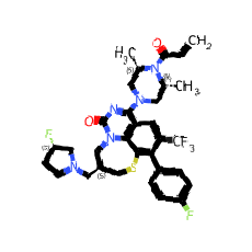 C=CC(=O)N1[C@H](C)CN(c2nc(=O)n3c4c(c(-c5ccc(F)cc5)c(C(F)(F)F)cc24)SC[C@@H](CN2CC[C@H](F)C2)C3)C[C@@H]1C